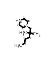 CCCCC(C)(C)CN1CCNCC1